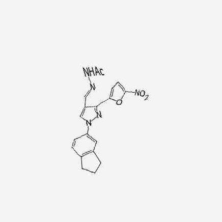 CC(=O)N/N=C/c1cn(-c2ccc3c(c2)CCC3)nc1-c1ccc([N+](=O)[O-])o1